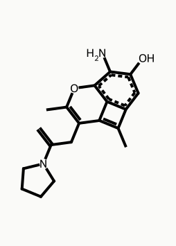 C=C(CC1=C(C)Oc2c(N)c(O)cc3c2C1=C3C)N1CCCC1